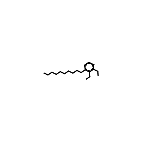 CCCCCCCCCCc1cc[c]c(CC)c1CC